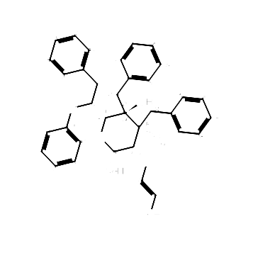 CC=CO[C@@H]1[C@H]([SeH])O[C@H](C(Cc2ccccc2)Oc2ccccc2)[C@](O)(Cc2ccccc2)[C@@]1(O)Cc1ccccc1